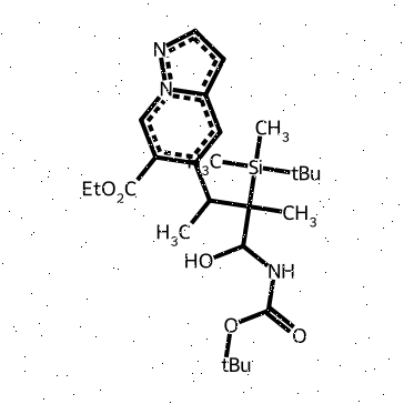 CCOC(=O)c1cn2nccc2cc1C(C)C(C)(C(O)NC(=O)OC(C)(C)C)[Si](C)(C)C(C)(C)C